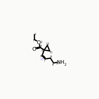 CCOC(=O)C1(/C=C\CCN)CC1